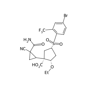 CCO[C@H]1C[C@@H](S(=O)(=O)c2ccc(Br)cc2C(F)(F)F)C[C@]1(C(=O)O)C1CC1(C#N)C(N)=O